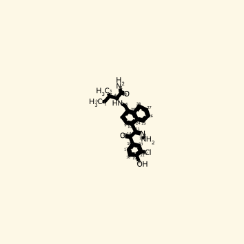 CCC(C)C(NCc1ccc(C(=NN)C(=O)c2ccc(O)c(Cl)c2)c2ccccc12)C(N)=O